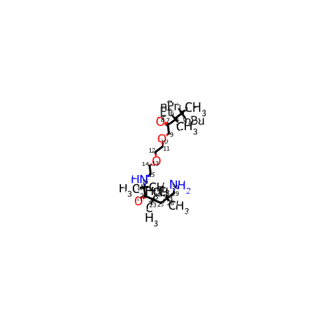 CCCCC(C)(CCC)C(C)(CC)C(=O)COCCOCCNC(C)(C)C(=O)C(C)(C)CC(C)(C)CN